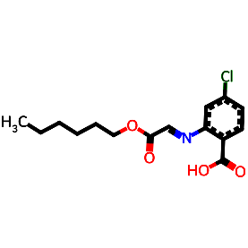 CCCCCCOC(=O)C=Nc1cc(Cl)ccc1C(=O)O